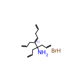 Br.C=CC/C=C(\CC=C)C(N)(CC=C)CC=C